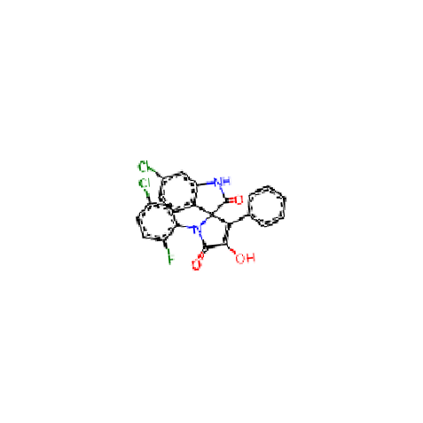 O=C1C(O)=C(c2ccccc2)C2(C(=O)Nc3cc(Cl)ccc32)N1c1cc(Cl)ccc1F